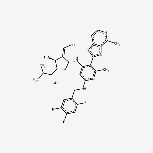 Cc1nc(NCc2cc(F)c(F)cc2F)nc(N[C@@H]2C[C@H]([C@H](O)C(C)C)[C@@H](O)/C2=C/O)c1-c1nc2c(C)nccc2s1